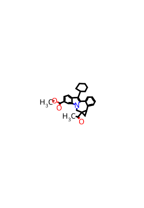 COC(=O)c1ccc2c(C3CCCCC3)c3n(c2c1)CC1(C(C)=O)CC1c1ccccc1-3